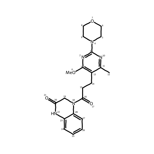 COc1nc(N2CCOCC2)nc(C)c1CCC(=O)N1CC(=O)Nc2ccccc21